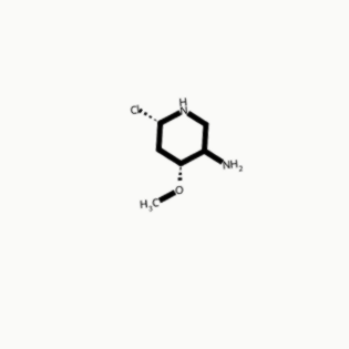 CO[C@@H]1C[C@H](Cl)NCC1N